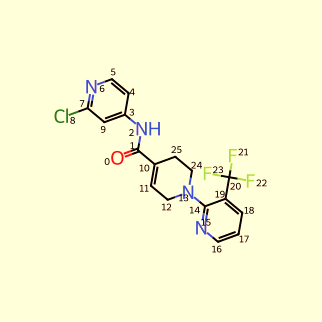 O=C(Nc1ccnc(Cl)c1)C1=CCN(c2ncccc2C(F)(F)F)CC1